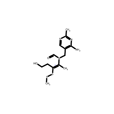 CSS/C(CCO)=C(\C)N(C=O)Cc1cnc(C)nc1N